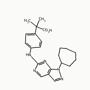 CC(C)(C(=O)O)c1ccc(Nc2ncc3cnn(C4CCCCCC4)c3n2)cc1